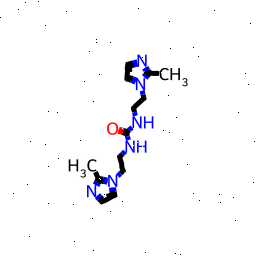 Cc1nccn1CCNC(=O)NCCn1ccnc1C